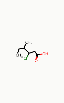 CCC(C)C(Cl)CC(=O)O